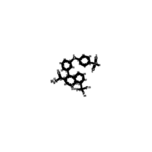 CS(=O)(=O)c1ccc(Oc2cccc(-c3c(C(N)=O)cnc4c(C(F)(F)F)cccc34)c2)cc1